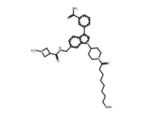 CNCCCCCCCC(=O)N1CCC(n2cc(-c3cccc(C(N)=S)c3)c3ccc(CNC(=O)C4CN(C)C4)cc32)CC1